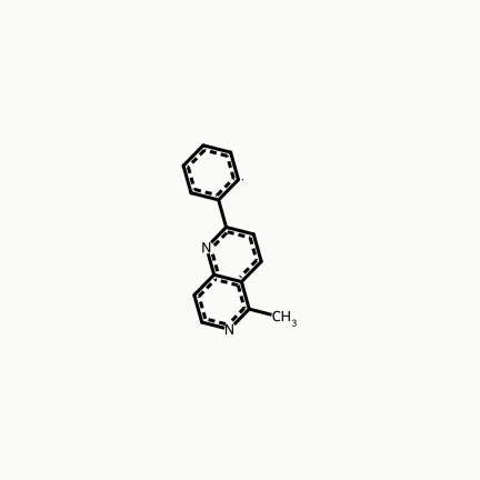 Cc1nccc2nc(-c3[c]cccc3)ccc12